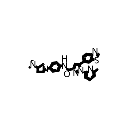 Cc1cccc(-n2nc(C(=O)Nc3ccc(N4CCC(N(C)C)C4)cc3)cc2-c2ccc3ncsc3c2)n1